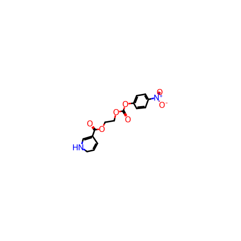 O=C(OCCOC(=O)C1=CNCC=C1)Oc1ccc([N+](=O)[O-])cc1